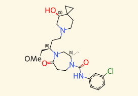 COC[C@@H](CCN1CCC2(CC2)[C@H](O)C1)N1C[C@H](C)N(C(=O)Nc2cccc(Cl)c2)CCC1=O